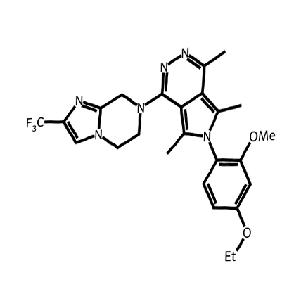 CCOc1ccc(-n2c(C)c3c(C)nnc(N4CCn5cc(C(F)(F)F)nc5C4)c3c2C)c(OC)c1